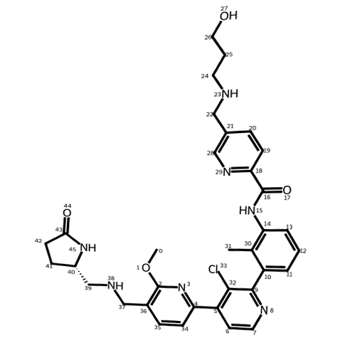 COc1nc(-c2ccnc(-c3cccc(NC(=O)c4ccc(CNCCCO)cn4)c3C)c2Cl)ccc1CNC[C@@H]1CCC(=O)N1